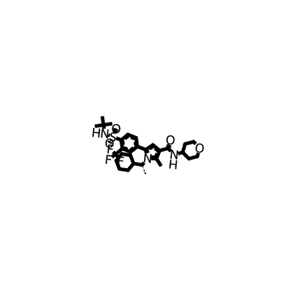 Cc1c(C(=O)NC2CCOCC2)cc(-c2ccc(S(=O)(=O)NC(C)(C)C)c(C(F)(F)F)c2)n1[C@H](C)C1CCCCC1